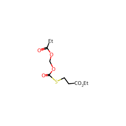 CCOC(=O)CCSC(=O)OCOC(=O)CC